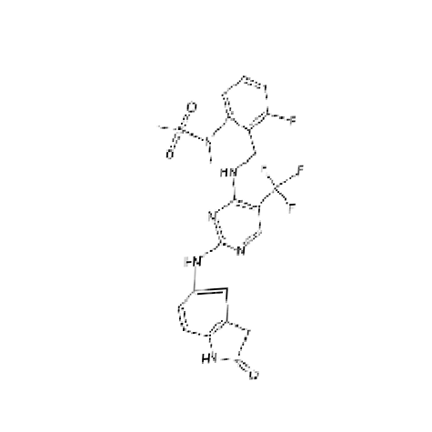 CN(c1cccc(F)c1CNc1nc(Nc2ccc3c(c2)CC(=O)N3)ncc1C(F)(F)F)S(C)(=O)=O